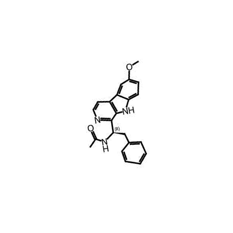 COc1ccc2[nH]c3c([C@@H](Cc4ccccc4)NC(C)=O)nccc3c2c1